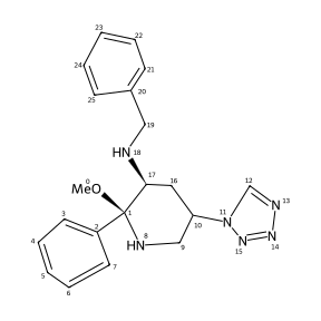 CO[C@]1(c2ccccc2)NCC(n2cnnn2)C[C@@H]1NCc1ccccc1